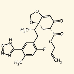 C=CCOC(=O)[C@@H]1C[C@]2([C@@H](C)Cc3cc(-c4nnn[nH]4)c(C)cc3F)OCOC2=CC1=O